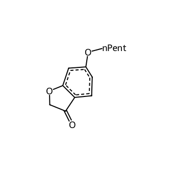 CCCCCOc1ccc2c(c1)OCC2=O